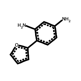 Nc1ccc(-c2ccco2)c(N)c1